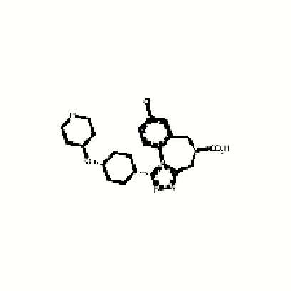 O=C(O)N1Cc2cc(Cl)ccc2-n2c(nnc2[C@H]2CC[C@@H](OC3CCOCC3)CC2)C1